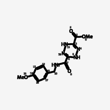 COC(=O)C1=NNC(C(=O)NCc2ccc(OC)cc2)=NN1